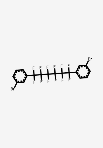 FC(F)(c1cccc(Br)c1)C(F)(F)C(F)(F)C(F)(F)C(F)(F)C(F)(F)c1cccc(Br)c1